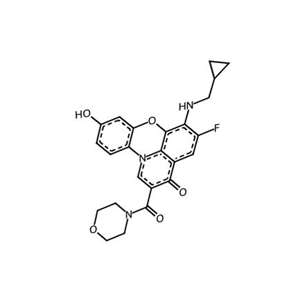 O=C(c1cn2c3c(c(NCC4CC4)c(F)cc3c1=O)Oc1cc(O)ccc1-2)N1CCOCC1